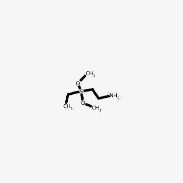 CC[Si](CCN)(OC)OC